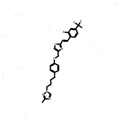 Cc1ncn(CCCCc2ccc(OCc3coc(C=Cc4ccc(C(F)(F)F)cc4F)n3)cc2)n1